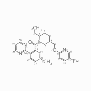 CCC1CC[C@@H](COc2ccc(F)cn2)CN1C(=O)c1cc(C)ccc1-c1ncccn1